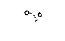 N[C@H]1CC2(n3cc(I)nc3COCc3ccccc3)CC1C2